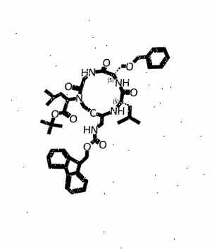 CC(C)CC(C(=O)OC(C)(C)C)N1CCC(CNC(=O)OCC2c3ccccc3-c3ccccc32)N[C@@H](CC(C)C)C(=O)N[C@@H](COCc2ccccc2)C(=O)NCC1=O